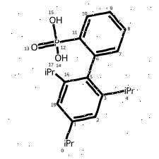 CC(C)c1cc(C(C)C)c(-c2ccccc2P(=O)(O)O)c(C(C)C)c1